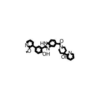 COc1ncccc1-c1ccc(O)c(-c2nc3cc(C(=O)N4CCC(O)(c5ccccn5)CC4)ccc3[nH]2)c1